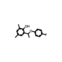 Cc1cc(C)c(O)c(C(C)Oc2ccc(F)cc2)c1